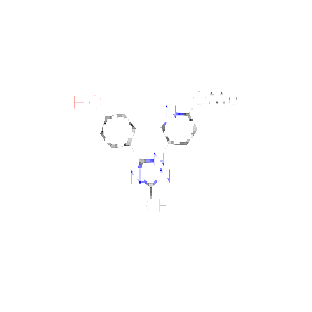 COc1ccc(-n2nc(C(F)(F)F)nc2-c2ccc(O)cc2)cn1